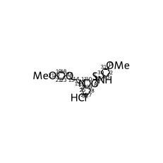 COc1ccc(NC(=S)OC2CCN(CCCOc3ccc(OC)cc3)C3CCCCC23)cc1.Cl